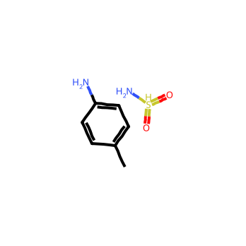 Cc1ccc(N)cc1.N[SH](=O)=O